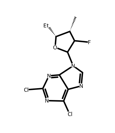 CC[C@H]1OC(n2cnc3c(Cl)nc(Cl)nc32)C(F)[C@H]1C